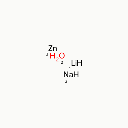 O.[LiH].[NaH].[Zn]